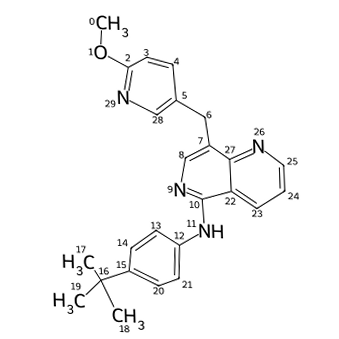 COc1ccc(Cc2cnc(Nc3ccc(C(C)(C)C)cc3)c3cccnc23)cn1